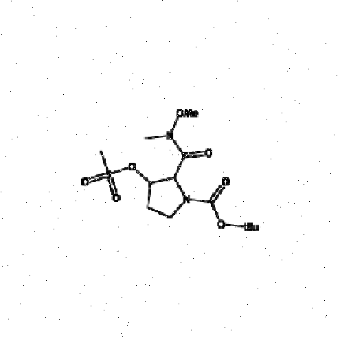 CON(C)C(=O)C1C(OS(C)(=O)=O)CCN1C(=O)OC(C)(C)C